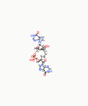 O=c1[nH]cnc2c1ncn2[C@@H]1O[C@@H]2COP(=O)(O)O[C@@H]3CC(CC[C@H]2[C@H]1O)O[C@H]3n1cnc2c(=O)[nH]cnc21